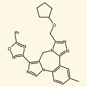 Cc1ccc2c(c1)-c1nnc(COC3CCCC3)n1Cc1c(-c3noc(C(C)C)n3)ncn1-2